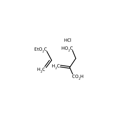 C=C(CC(=O)O)C(=O)O.C=CC(=O)OCC.Cl